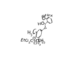 CCCCCCOc1ccccc1C(O)C1CC1c1cc(C)c(OC(C)(C)C(=O)OCC)c(C)c1